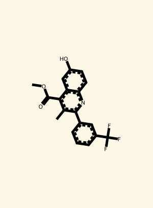 COC(=O)c1c(C)c(-c2cccc(C(F)(F)F)c2)nc2ccc(O)cc12